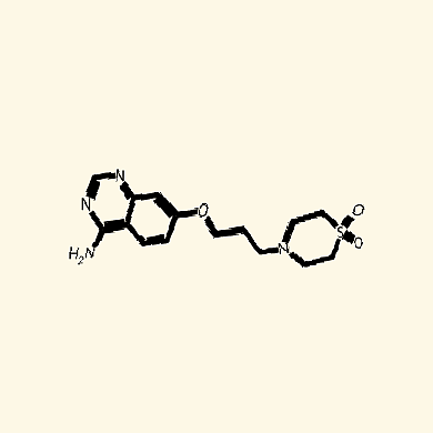 Nc1ncnc2cc(OCCCN3CCS(=O)(=O)CC3)ccc12